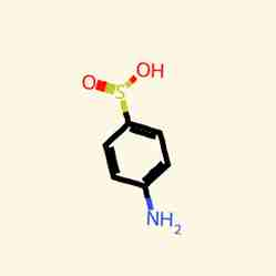 Nc1ccc(S(=O)O)cc1